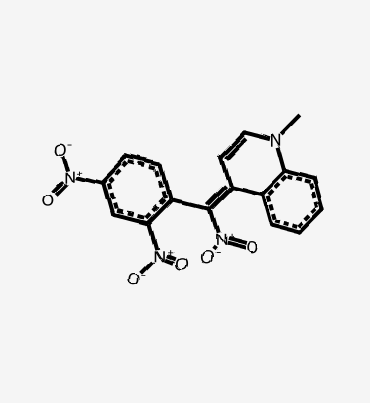 CN1C=CC(=C(c2ccc([N+](=O)[O-])cc2[N+](=O)[O-])[N+](=O)[O-])c2ccccc21